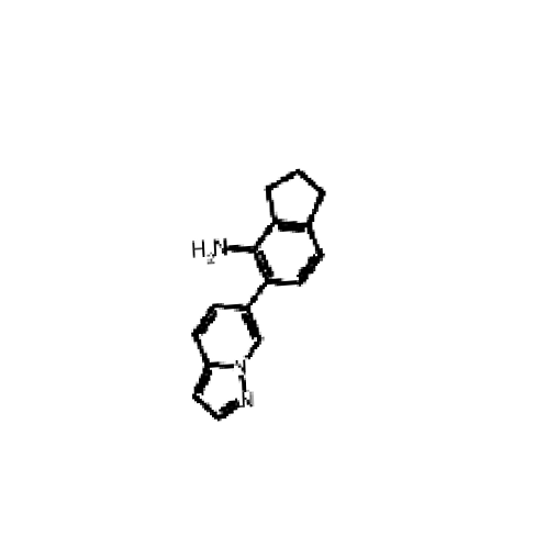 Nc1c(-c2ccc3ccnn3c2)ccc2c1CCC2